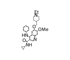 CCN1CCC(COc2cc3c(Nc4ccccc4)c(C(=O)NC4CC4)cnc3cc2OC)CC1